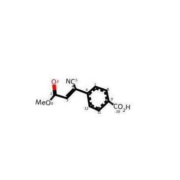 COC(=O)C=C(C#N)c1ccc(C(=O)O)cc1